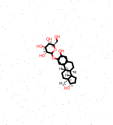 C[C@]12CC[C@@H]3c4cc(OC5O[C@H](CO)[C@@H](O)[C@H](O)[C@H]5O)c(O)cc4CC[C@H]3[C@@H]1CC[C@@H]2O